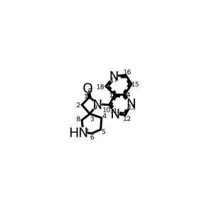 O=C1CC2(CCCNC2)N1c1ncnc2ccncc12